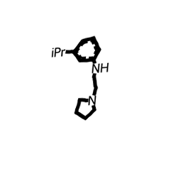 CC(C)c1cccc(NCCN2CCCC2)c1